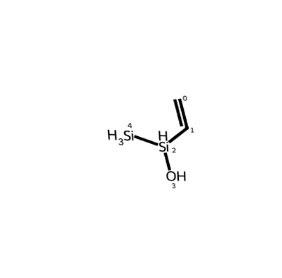 C=C[SiH](O)[SiH3]